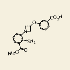 COC(=O)c1cccc(N2CC(Oc3cccc(C(=O)O)c3)C2)c1N